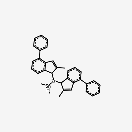 CC1=Cc2c(-c3ccccc3)cccc2[CH]1[Zr]([CH]1C(C)=Cc2c(-c3ccccc3)cccc21)[SnH]([CH3])[CH3]